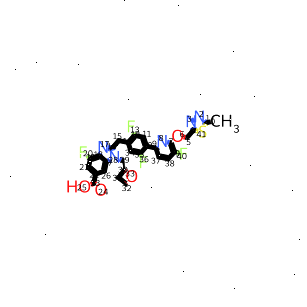 Cc1nnc(COc2nc(-c3cc(F)c(Cc4nc5c(F)cc(C(=O)O)cc5n4C[C@@H]4CCO4)cc3F)ccc2F)s1